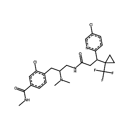 CNC(=O)c1ccc(CC(CNC(=O)CC(c2ccc(Cl)cn2)C2(C(F)(F)F)CC2)N(C)C)c(Cl)c1